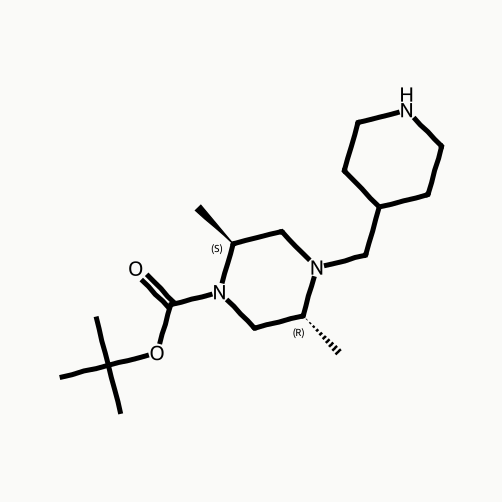 C[C@@H]1CN(C(=O)OC(C)(C)C)[C@@H](C)CN1CC1CCNCC1